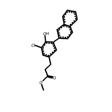 COC(=O)CCc1cc(Cl)c(O)c(-c2ccc3ccccc3c2)c1